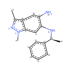 Cc1nn(C)c2cc(N[C@@H](C)c3ccccc3)c(N)cc12